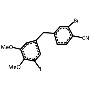 COc1cc(Cc2ccc(C#N)c(Br)c2)cc(I)c1OC